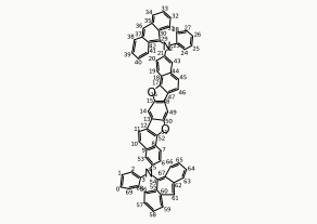 c1ccc(N(c2ccc3c(ccc4c5cc6oc7c8ccc(N(c9ccccc9)c9c%10ccccc%10cc%10ccccc9%10)cc8ccc7c6cc5oc34)c2)c2c3ccccc3cc3ccccc23)cc1